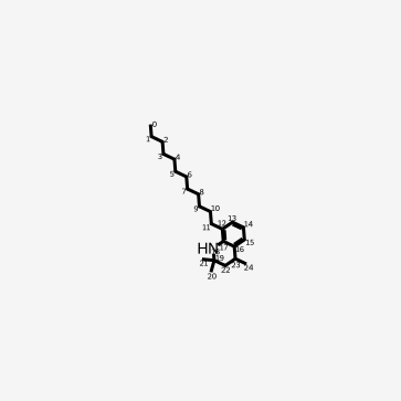 CCCCCCCCCCCCc1cccc2c1NC(C)(C)CC2C